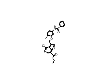 CCOC(=O)c1cnc(Cl)c2c(COc3cc(NC(=O)c4ccccc4)ccc3C)csc12